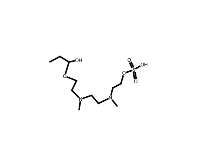 CCC(O)OCCN(C)CCN(C)CCOS(=O)(=O)O